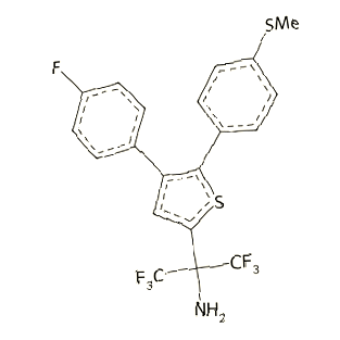 CSc1ccc(-c2sc(C(N)(C(F)(F)F)C(F)(F)F)cc2-c2ccc(F)cc2)cc1